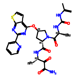 C=C(C)NC(=O)N[C@H](C(=O)N1C[C@H](Oc2nc(-c3ccccn3)nc3sccc23)C[C@H]1C(=O)N[C@@H](CCC)C(=O)C(N)=O)C(C)(C)C